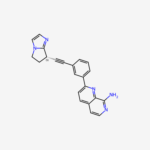 Nc1nccc2ccc(-c3cccc(C#C[C@@H]4CCn5ccnc54)c3)nc12